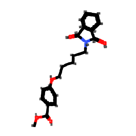 COC(=O)c1ccc(OCCCCCN2C(=O)c3ccccc3C2=O)cc1